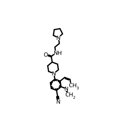 C=Nc1c(C#N)ccc(N2CCC(C(=O)NCCN3CCCC3)CC2)c1/C=C\C